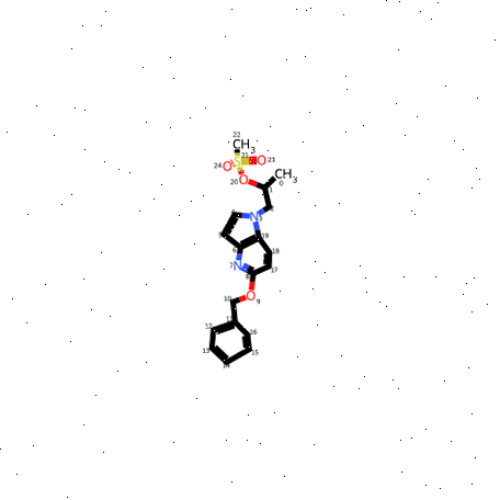 CC(Cn1ccc2nc(OCc3ccccc3)ccc21)OS(C)(=O)=O